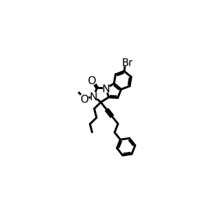 CCCCC1(C#CCCc2ccccc2)c2cc3ccc(Br)cc3n2C(=O)N1OC